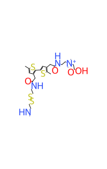 CNCCSSCCNC(=O)Cc1cc(C)sc1-c1cc(CC(=O)NCC[N+](C)(C)CC(=O)O)c(C)s1